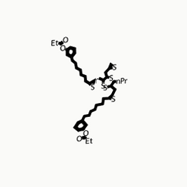 CCCC1SC(CC2CS2)C(C[C@@H]2SC2CCCCCCCc2cccc(OC(=O)CC)c2)SSC1CC1SC1CCCCCCCc1cccc(OC(=O)CC)c1